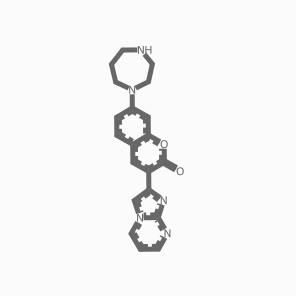 O=c1oc2cc(N3CCCNCC3)ccc2cc1-c1cn2cccnc2n1